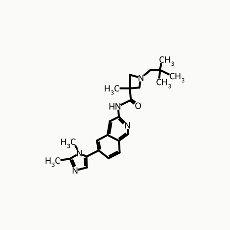 Cc1ncc(-c2ccc3cnc(NC(=O)C4(C)CN(CC(C)(C)C)C4)cc3c2)n1C